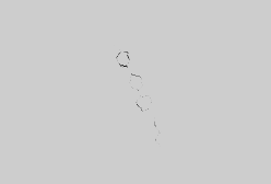 CCCCC[C@H]1C=C[C@H](C2CCC(c3ccc(OC)cc3)CC2)CC1